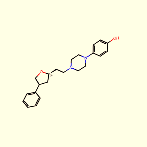 Oc1ccc(N2CCN(CC[C@H]3CC(c4ccccc4)CO3)CC2)cc1